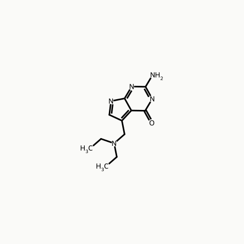 CCN(CC)CC1=C2C(=O)N=C(N)N=C2N=C1